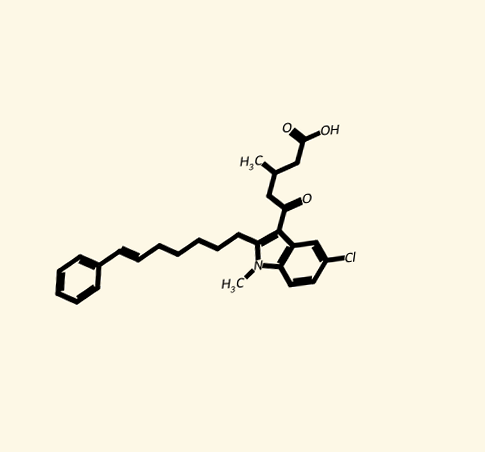 CC(CC(=O)O)CC(=O)c1c(CCCCC/C=C/c2ccccc2)n(C)c2ccc(Cl)cc12